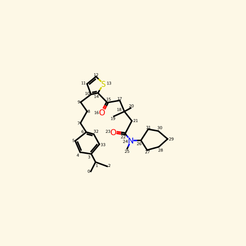 CC(C)c1ccc(CCCc2ccsc2C(=O)CC(C)(C)CC(=O)N(C)C2CCCCC2)cc1